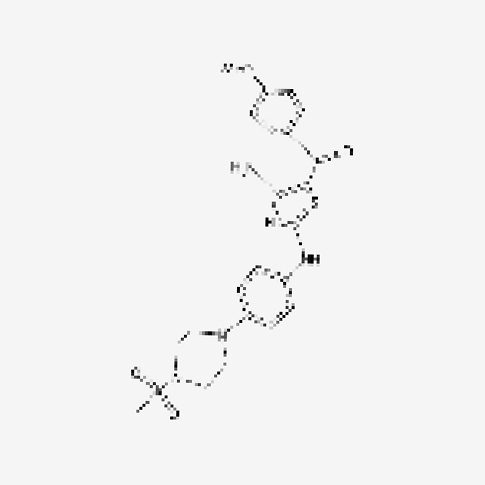 COc1ccc(C(=O)c2sc(Nc3ccc(N4CCN(S(C)(=O)=O)CC4)cc3)nc2N)cc1